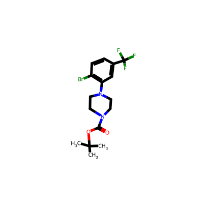 CC(C)(C)OC(=O)N1CCN(c2cc(C(F)(F)F)ccc2Br)CC1